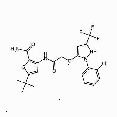 CC(C)(C)c1cc(NC(=O)COC2=CC(C(F)(F)F)NN2c2ccccc2Cl)c(C(N)=O)s1